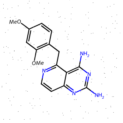 COc1ccc(Cc2nccc3nc(N)nc(N)c23)c(OC)c1